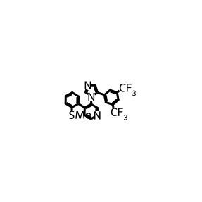 CSc1ccccc1-c1ccncc1-n1cncc1-c1cc(C(F)(F)F)cc(C(F)(F)F)c1